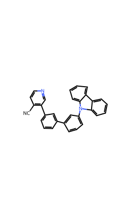 N#Cc1ccncc1-c1cccc(-c2cccc(-n3c4ccccc4c4ccccc43)c2)c1